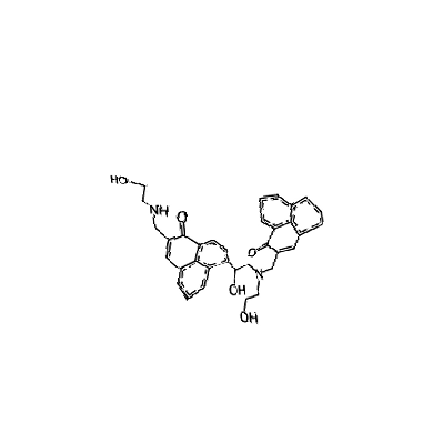 O=C1C(CN(CCO)CC(O)c2ccc3c4c(cccc24)C=C(CNCCO)C3=O)=Cc2cccc3cccc1c23